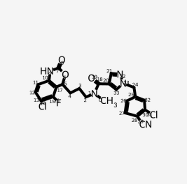 CN(CCCC1OC(=O)Nc2ccc(Cl)c(F)c21)C(=O)c1cnn(Cc2ccc(C#N)c(Cl)c2)c1